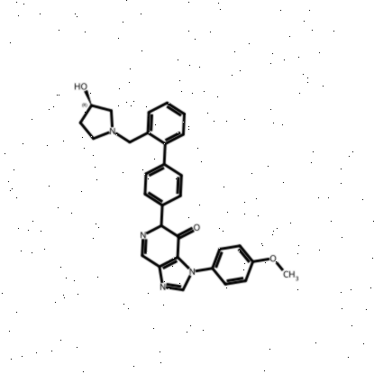 COc1ccc(-n2cnc3c2C(=O)C(c2ccc(-c4ccccc4CN4CC[C@@H](O)C4)cc2)N=C3)cc1